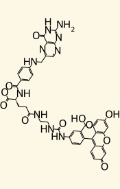 Nc1nc2ncc(CNc3ccc(C(=O)N[C@@H](CCC(=O)NCCNC(=O)Nc4ccc(-c5c6ccc(=O)cc-6oc6cc(O)ccc56)c(C(=O)O)c4)C(=O)O)cc3)nc2c(=O)[nH]1